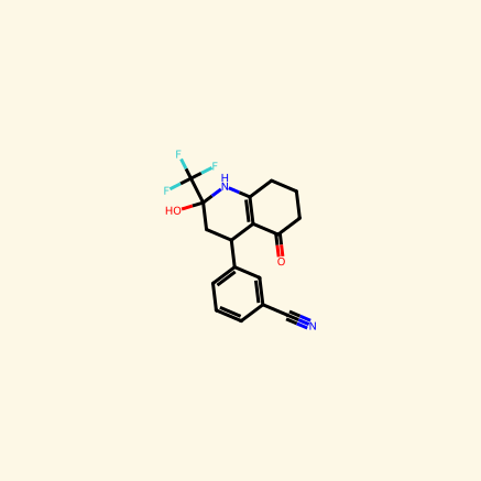 N#Cc1cccc(C2CC(O)(C(F)(F)F)NC3=C2C(=O)CCC3)c1